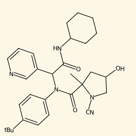 CC(C)(C)c1ccc(N(C(=O)C2(C)CC(O)CN2C#N)C(C(=O)NC2CCCCC2)c2cccnc2)cc1